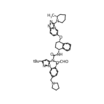 C[C@H]1CCCCN1c1nnc2ccc(O[C@@H]3CC[C@H](NC(=O)N(OC=O)c4cc(C(C)(C)C)nn4-c4cc(CN5CCCC5)ccc4F)c4ccccc43)cn12